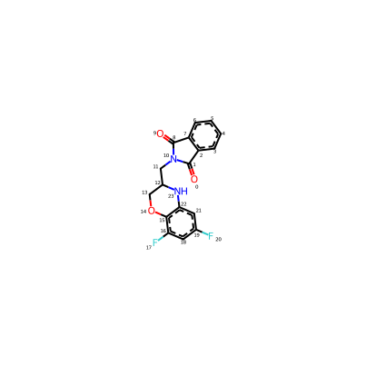 O=C1c2ccccc2C(=O)N1CC1COc2c(F)cc(F)cc2N1